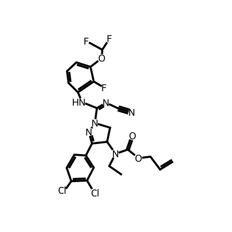 C=CCOC(=O)N(CC)C1CN(/C(=N\C#N)Nc2cccc(OC(F)F)c2F)N=C1c1ccc(Cl)c(Cl)c1